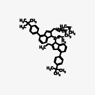 C[CH]=[Zr+2]([CH]1C(CC)=Cc2c(-c3ccc(C(C)(C)C)cc3)cccc21)[CH]1C(CC)=Cc2c(-c3ccc(C(C)(C)C)cc3)cccc21.C[N-]C.C[N-]C